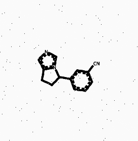 N#Cc1cccc(C2CCc3cncn32)c1